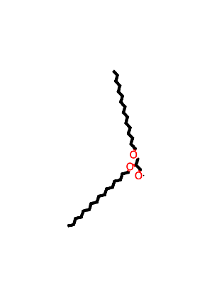 CCCCCCCCCCCCCCCCOCC(C[O])OCCCCCCCCCCCCCCCC